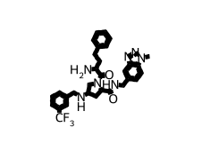 Cn1nnc2cc(CNC(=O)C3CC(NCc4cccc(C(F)(F)F)c4)CN3C(=O)C(N)CCc3ccccc3)ccc21